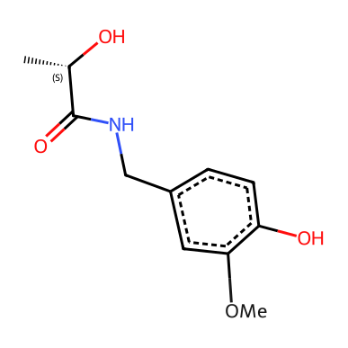 COc1cc(CNC(=O)[C@H](C)O)ccc1O